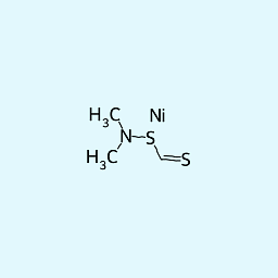 CN(C)SC=S.[Ni]